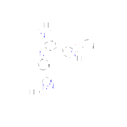 C=CN1Cc2cc(-c3ccnc(OC4(C)C=CC=CC4)c3)cc(N3CCCc4cc(-c5cnn(C)c5)c(C5CC5)cc43)c2C1